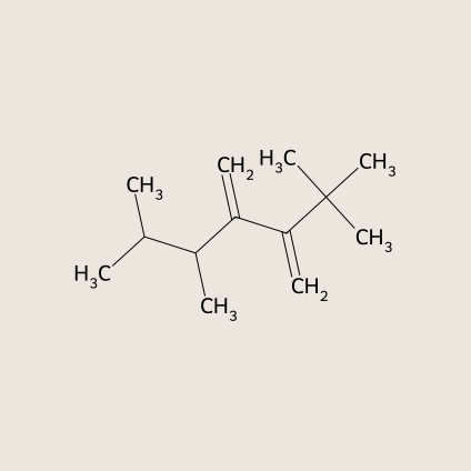 C=C(C(=C)C(C)(C)C)C(C)C(C)C